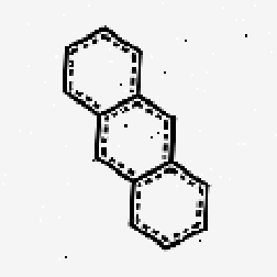 [c]1cccc2cc3ccccc3cc12